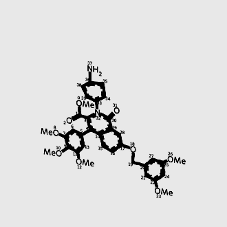 COC(=O)c1c(-c2cc(OC)c(OC)c(OC)c2)c2ccc(OCc3cc(OC)cc(OC)c3)cc2c(=O)n1-c1ccc(N)cc1